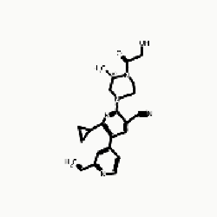 C=Cc1cc(-c2cc(C#N)c(N3CCN(C(=O)CO)[C@H](C)C3)nc2C2CC2)ccn1